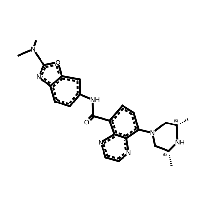 C[C@@H]1CN(c2ccc(C(=O)Nc3ccc4nc(N(C)C)oc4c3)c3nccnc23)C[C@H](C)N1